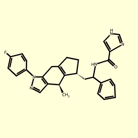 C[C@@H]1C2=C(CC[C@@H]2CC(NC(=O)c2c[nH]cn2)c2ccccc2)Cc2c1cnn2-c1ccc(F)cc1